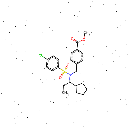 CC[C@H](C1CCCC1)N(Cc1ccc(C(=O)OC)cc1)S(=O)(=O)c1ccc(Cl)cc1